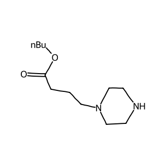 CCCCOC(=O)CCCN1CCNCC1